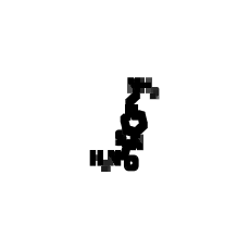 NCCN1CCc2nc(C(N)=O)sc2C1